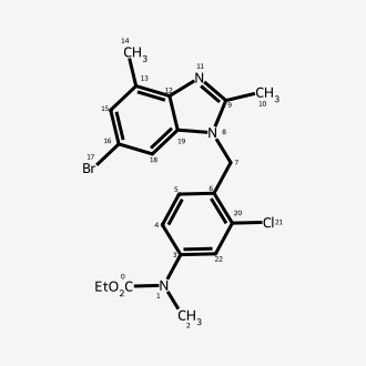 CCOC(=O)N(C)c1ccc(Cn2c(C)nc3c(C)cc(Br)cc32)c(Cl)c1